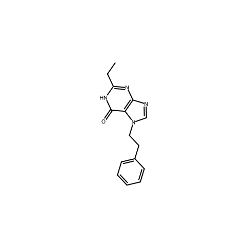 CCc1nc2ncn(CCc3ccccc3)c2c(=O)[nH]1